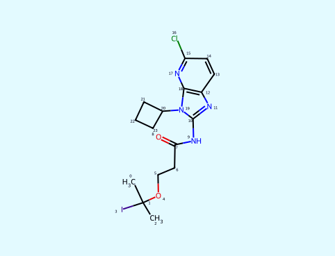 CC(C)(I)OCCC(=O)Nc1nc2ccc(Cl)nc2n1C1CCC1